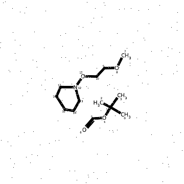 CC(C)(C)OC=O.COCCON1CCCCC1